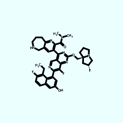 CCc1c(F)ccc2cc(O)cc(-c3ncc4c(-c5cc6c(nc5C(=O)N(C)C)CCCNC6)nc(OC[C@@]56CCCN5C[C@H](F)C6)nc4c3F)c12